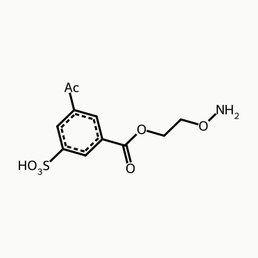 CC(=O)c1cc(C(=O)OCCON)cc(S(=O)(=O)O)c1